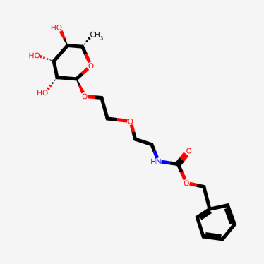 C[C@@H]1O[C@@H](OCCOCCNC(=O)OCc2ccccc2)[C@H](O)[C@H](O)[C@H]1O